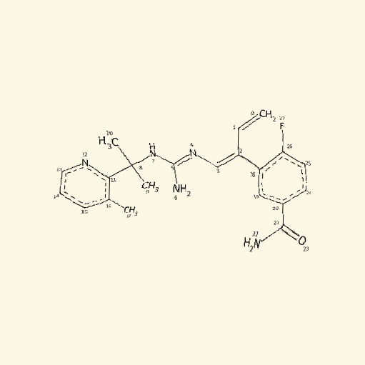 C=C/C(=C\N=C(/N)NC(C)(C)c1ncccc1C)c1cc(C(N)=O)ccc1F